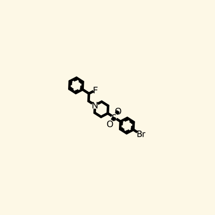 O=S(=O)(c1ccc(Br)cc1)C1CCN(CC(F)c2ccccc2)CC1